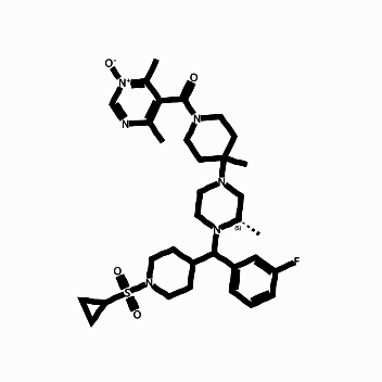 Cc1nc[n+]([O-])c(C)c1C(=O)N1CCC(C)(N2CCN(C(c3cccc(F)c3)C3CCN(S(=O)(=O)C4CC4)CC3)[C@@H](C)C2)CC1